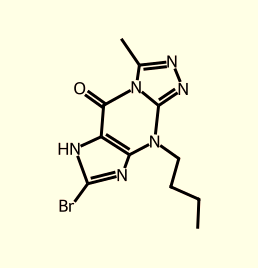 CCCCn1c2nc(Br)[nH]c2c(=O)n2c(C)nnc12